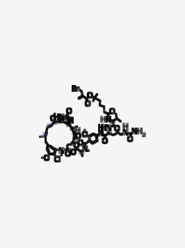 C=C(CBr)C(=O)OC(C)(C)CCCCC(=O)N[C@H](C(=O)N[C@@H](CCCNC(N)=O)C(=O)Nc1ccc(C(=O)N(C)[C@@H](C)C(=O)O[C@H]2CC(=O)N(C)c3cc(cc(OC)c3Cl)C/C(C)=C/C=C/[C@@H](OC)[C@@]3(O)C[C@H](OC(=O)N3)[C@@H](C)[C@@H]3O[C@@]23C)c(OC)c1)C(C)C